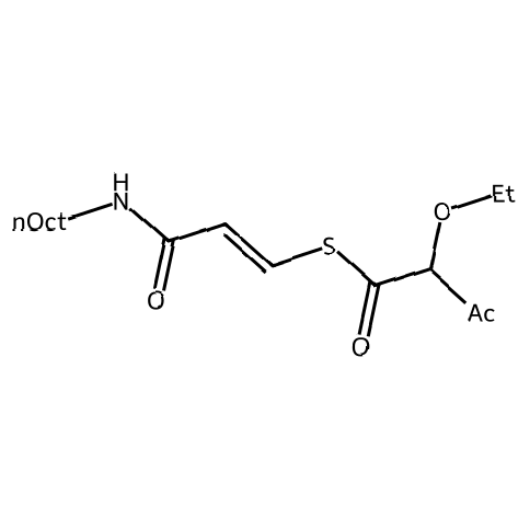 CCCCCCCCNC(=O)C=CSC(=O)C(OCC)C(C)=O